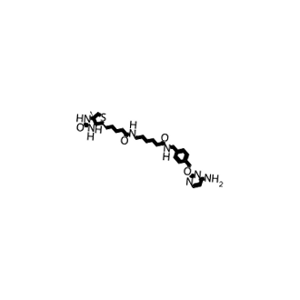 C[C@]12CS[C@@H](CCCCC(=O)NCCCCCC(=O)NCc3ccc(COc4nccc(N)n4)cc3)[C@H]1NC(=O)N2